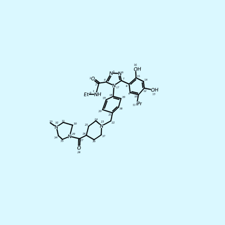 CCNC(=O)c1nnc(-c2cc(C(C)C)c(O)cc2O)n1-c1ccc(CN2CCC(C(=O)N3CCN(C)CC3)CC2)cc1